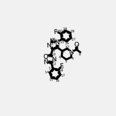 CC(=O)N1CCCC(c2c(-c3nc(-c4ccccc4F)no3)nnn2-c2ccccc2F)C1